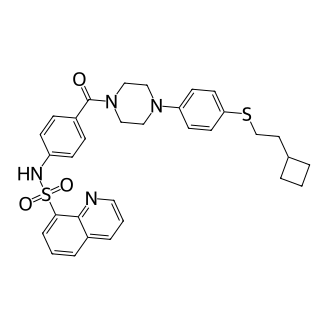 O=C(c1ccc(NS(=O)(=O)c2cccc3cccnc23)cc1)N1CCN(c2ccc(SCCC3CCC3)cc2)CC1